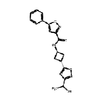 CC(O)c1noc([C@H]2C[C@H](NC(=O)c3cc(-c4ccccc4)on3)C2)n1